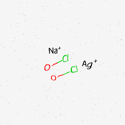 [Ag+].[Na+].[O-]Cl.[O-]Cl